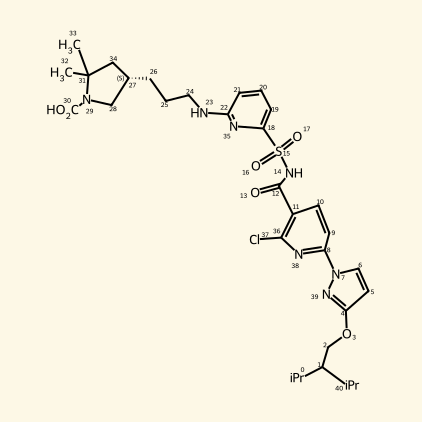 CC(C)C(COc1ccn(-c2ccc(C(=O)NS(=O)(=O)c3cccc(NCCC[C@@H]4CN(C(=O)O)C(C)(C)C4)n3)c(Cl)n2)n1)C(C)C